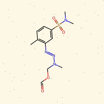 Cc1ccc(S(=O)(=O)N(C)C)cc1/N=N/N(C)COC=O